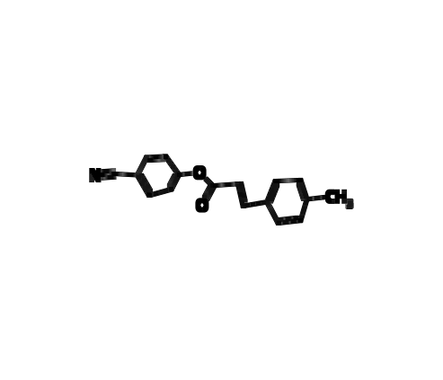 Cc1ccc(C=CC(=O)Oc2ccc(C#N)cc2)cc1